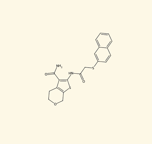 NC(=O)c1c(NC(=O)CSc2ccc3ccccc3c2)sc2c1CCOC2